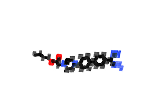 CCCCOC(=O)CN1CCN(c2ccc(-c3ccc(C(=N)N)cc3)cc2)CC1